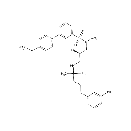 Cc1cccc(CCCC(C)(C)NC[C@@H](O)CN(C)S(=O)(=O)c2cccc(-c3ccc(CC(=O)O)cc3)c2)c1